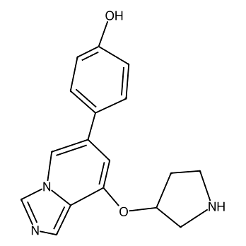 Oc1ccc(-c2cc(OC3CCNC3)c3cncn3c2)cc1